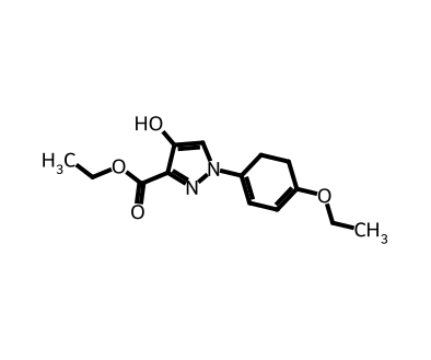 CCOC(=O)c1nn(C2=CC=C(OCC)CC2)cc1O